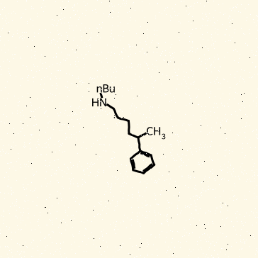 CCCCNC[CH]CCC(C)c1ccccc1